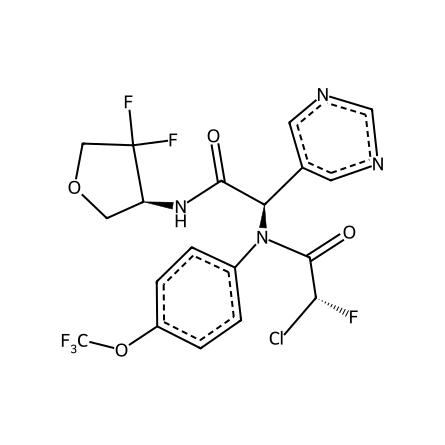 O=C(N[C@H]1COCC1(F)F)[C@@H](c1cncnc1)N(C(=O)[C@H](F)Cl)c1ccc(OC(F)(F)F)cc1